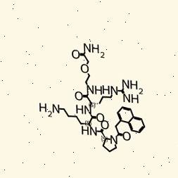 N=C(N)NCCC[C@H](NC(=O)[C@H](CCCCN)NC(=O)[C@@H]1CCCN1C(=O)Cc1cccc2ccccc12)C(=O)NCCOCC(N)=O